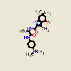 CCCCC(NC(=O)c1[nH]c2c(c1C)C(=O)CC(C)(C)C2)C(=O)NC1CCC(N(C)C)CC1